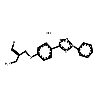 Cl.NC/C(=C/F)COc1ccc(-c2nnn(-c3ccccc3)n2)cc1